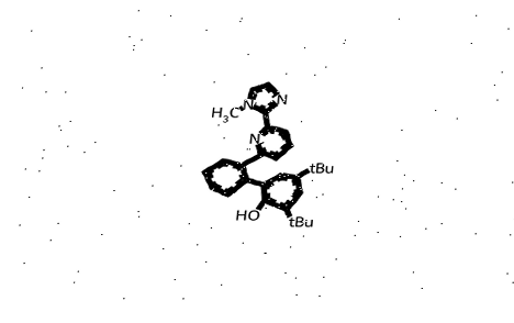 Cn1ccnc1-c1cccc(-c2ccccc2-c2cc(C(C)(C)C)cc(C(C)(C)C)c2O)n1